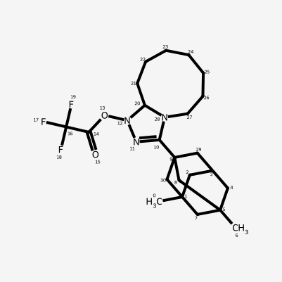 CC12CC3CC(C)(C1)CC(C1=NN(OC(=O)C(F)(F)F)C4CCCCCCCN14)(C3)C2